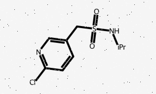 CC(C)NS(=O)(=O)Cc1ccc(Cl)nc1